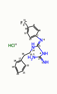 Cl.N=C(N)NC(=Nc1ccc(C(F)(F)F)cc1)NCCc1ccccc1